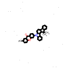 CC(C)c1ccc2oc3cc(-n4c5ccccc5c5c6c(ccc54)-c4ccccc4C6(C)C)ccc3c(=O)c2c1